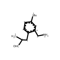 CC(C=O)Cc1ccc(C(C)(C)C)cc1CN